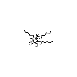 CCCCCOC(C(Cl)(Cl)Cl)P(=O)(OCCCCC)OCCCCC